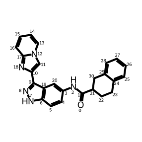 O=C(Nc1ccc2[nH]nc(-c3cn4ccccc4n3)c2c1)C1CCc2ccccc2C1